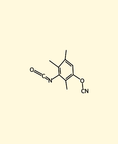 Cc1cc(OC#N)c(C)c(N=C=O)c1C